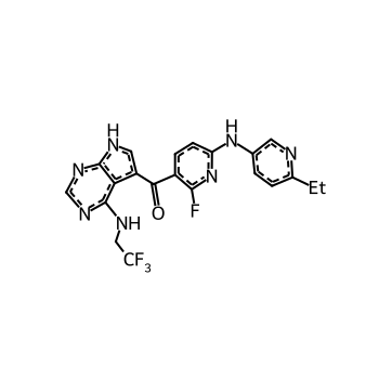 CCc1ccc(Nc2ccc(C(=O)c3c[nH]c4ncnc(NCC(F)(F)F)c34)c(F)n2)cn1